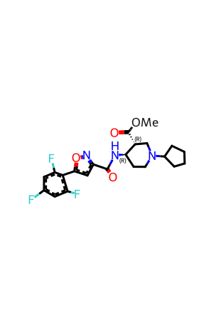 COC(=O)[C@@H]1CN(C2CCCC2)CC[C@H]1NC(=O)c1cc(-c2c(F)cc(F)cc2F)on1